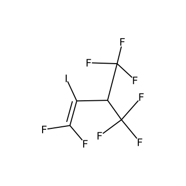 FC(F)=C(I)C(C(F)(F)F)C(F)(F)F